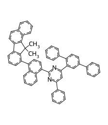 CC1(C)c2c(cccc2-c2ccc(-c3nc(-c4ccccc4)cc(-c4cc(-c5ccccc5)ccc4-c4ccccc4)n3)c3ccccc23)-c2ccc3ccccc3c21